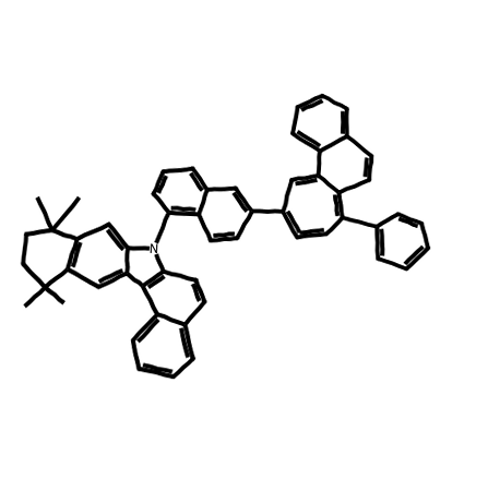 CC1(C)CCC(C)(C)c2cc3c(cc21)c1c2ccccc2ccc1n3-c1cccc2cc(C3=C=CC(c4ccccc4)=c4ccc5ccccc5c4=C3)ccc12